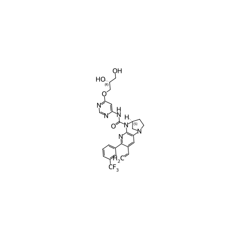 C=Cc1cc2c(nc1-c1cccc(C(F)(F)F)c1)N(C(=O)Nc1cc(OC[C@H](O)CO)ncn1)[C@H]1CCN2C1